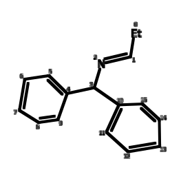 CC/C=N/C(c1ccccc1)c1ccccc1